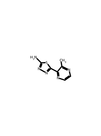 Cc1nccnc1-c1nnc(N)s1